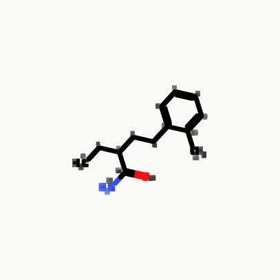 CCC(CCc1ccccc1C)C(N)=O